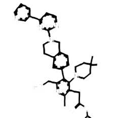 Cc1nc(CO)c(-c2ccc3c(c2)CCN(c2nccc(-c4cccnc4)n2)C3)c(N2CCC(C)(C)CC2)c1CC(=O)OC(C)C